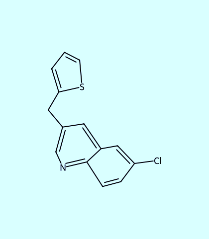 Clc1ccc2ncc(Cc3cccs3)cc2c1